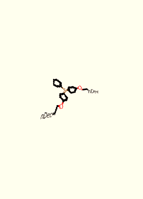 CCCCCCCCCCCCOc1ccc([S+](c2ccccc2)c2ccc(OCCCCCCCCCCCC)cc2)cc1